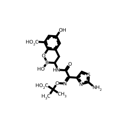 CC(C)(ON=C(C(=O)NC1Cc2cc(O)cc(C(=O)O)c2OB1O)c1csc(N)n1)C(=O)O